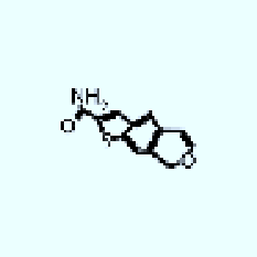 NC(=O)c1cc2cc3c(cc2s1)COC=C3